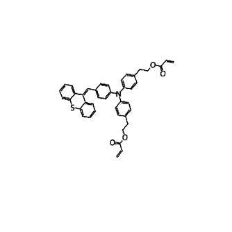 C=CC(=O)OCCc1ccc(N(c2ccc(C=C3c4ccccc4Sc4ccccc43)cc2)c2ccc(CCOC(=O)C=C)cc2)cc1